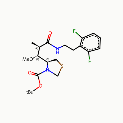 CO[C@@H]([C@H]1CSCN1C(=O)OC(C)(C)C)[C@@H](C)C(=O)NCCc1c(F)cccc1F